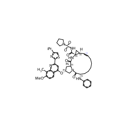 COc1ccc2c(O[C@@H]3C[C@H]4C(=O)N[C@]5(C(=O)NS(=O)(=O)N6CCCC6)C[C@H]5/C=C\CCCCC[C@H](Nc5ccccc5)C(=O)N4C3)cc(-c3nc(C(C)C)cs3)nc2c1C